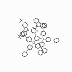 CC(C)(C)c1ccc2c(c1)c1cc(C(C)(C)C)ccc1n2-c1cc(-c2cc([Si](c3ccc(-c4ccccc4)cc3)(c3ccc(-c4ccccc4)cc3)c3ccc(-c4ccccc4)cc3)cc([Si](c3ccc(-c4ccccc4)cc3)(c3ccc(-c4ccccc4)cc3)c3ccc(-c4ccccc4)cc3)c2)nc(-n2c3ccccc3c3ccccc32)n1